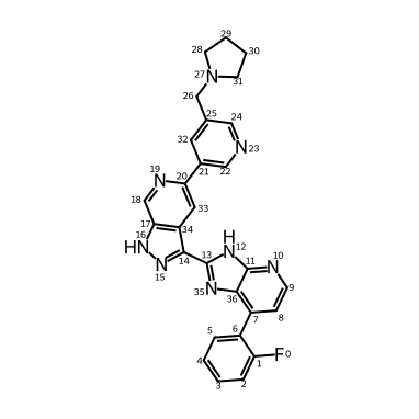 Fc1ccccc1-c1ccnc2[nH]c(-c3n[nH]c4cnc(-c5cncc(CN6CCCC6)c5)cc34)nc12